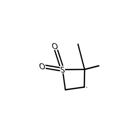 CC1(C)[CH]CS1(=O)=O